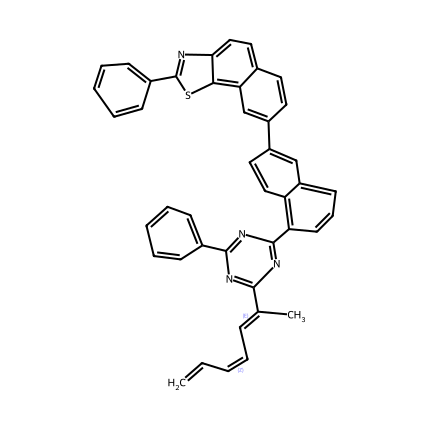 C=C/C=C\C=C(/C)c1nc(-c2ccccc2)nc(-c2cccc3cc(-c4ccc5ccc6nc(-c7ccccc7)sc6c5c4)ccc23)n1